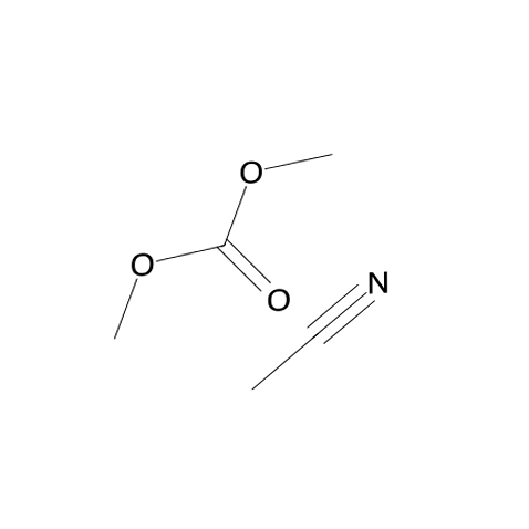 CC#N.COC(=O)OC